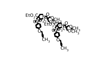 CC#CCOc1ccc(S(=O)(=O)CC2(C(=O)OCC)CCN(C(=O)C3(C)COC(C)(C)OC3)CC2)cc1.CC#CCOc1ccc(S(=O)(=O)CC2(C(=O)OCC)CCN(C(=O)C3(C)COC(C)(C)OC3)CC2)cc1